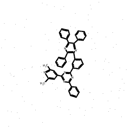 Cc1cc(-c2nc(-c3ccccc3)nc(-c3cccc(-c4nc(-c5ccccc5)c(-c5ccccc5)nc4-c4ccccc4)c3)n2)cc(C)n1